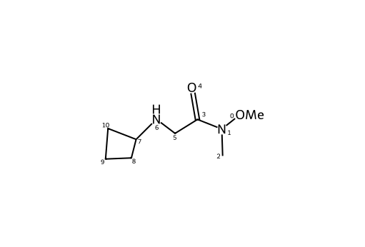 CON(C)C(=O)CNC1CCC1